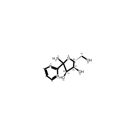 NC1(c2ncccn2)O[C@H](CO)[C@@H](O)[C@H]1O